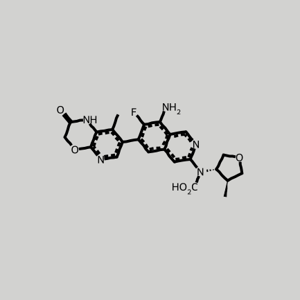 Cc1c(-c2cc3cc(N(C(=O)O)[C@@H]4COC[C@H]4C)ncc3c(N)c2F)cnc2c1NC(=O)CO2